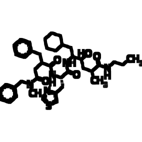 CCCNC(=O)C(C)CC(O)C(CC1CCCCC1)NC(=O)[C@H](Cc1cscn1)NC(=O)C(CC(=O)N(C)Cc1ccccc1)Cc1ccccc1